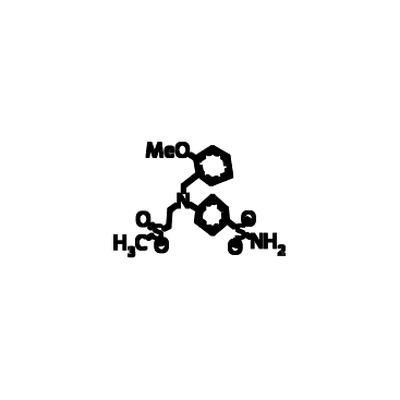 COc1ccccc1CN(CCS(C)(=O)=O)c1ccc(S(N)(=O)=O)cc1